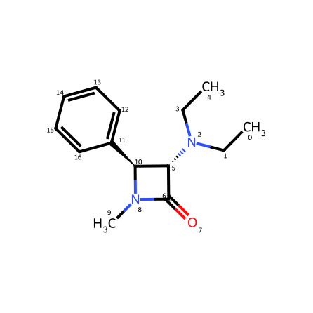 CCN(CC)[C@@H]1C(=O)N(C)[C@H]1c1ccccc1